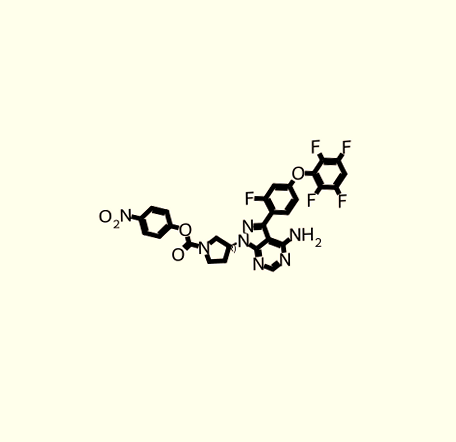 Nc1ncnc2c1c(-c1ccc(Oc3c(F)c(F)cc(F)c3F)cc1F)nn2[C@@H]1CCN(C(=O)Oc2ccc([N+](=O)[O-])cc2)C1